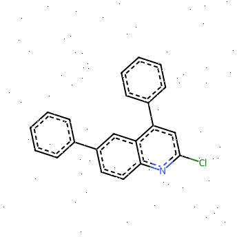 Clc1cc(-c2ccccc2)c2cc(-c3ccccc3)ccc2n1